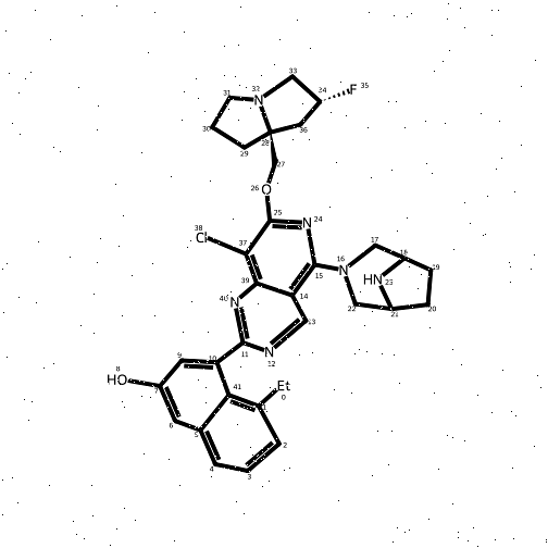 CCc1cccc2cc(O)cc(-c3ncc4c(N5CC6CCC(C5)N6)nc(OC[C@@]56CCCN5C[C@H](F)C6)c(Cl)c4n3)c12